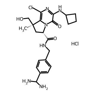 C[C@@]1(CO)C[C@@H](C(=O)NCc2ccc(C(N)N)cc2)n2c1c(Cl)nc(NC1CCC1)c2=O.Cl